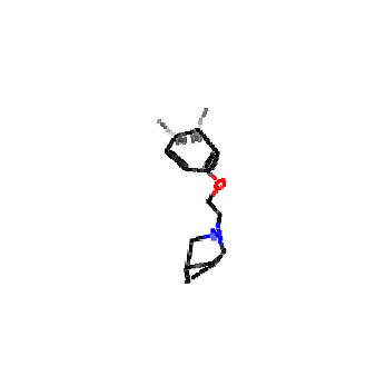 C[C@@H]1C=C(OCCN2CC3CC3C2)C=C[C@@H]1C